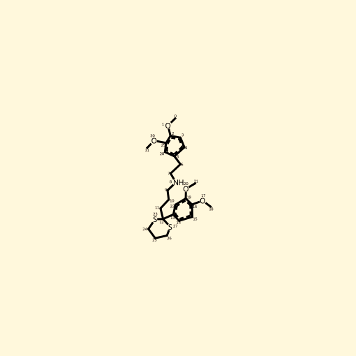 COc1ccc(CCNCCCC2(c3ccc(OC)c(OC)c3)SCCCS2)cc1OC